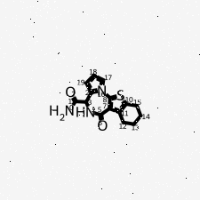 NC(=O)C1NC(=O)c2c(sc3c2CCCC3)-n2cccc21